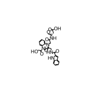 O=C[C@H](CC(=O)O)NC(=O)CN(C(=O)CNC(=O)c1cc2ccccc2[nH]1)c1ccccc1NC(=O)CO